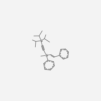 CC(C)[Si](C#C[Si](C)(/C=C/c1ccccc1)c1ccccc1)(C(C)C)C(C)C